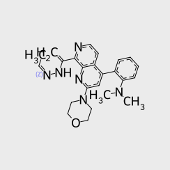 C=C(N/N=C\C)c1nccc2c(-c3ccccc3N(C)C)cc(N3CCOCC3)nc12